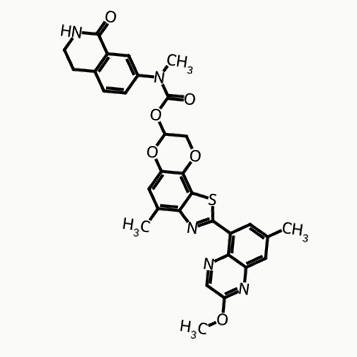 COc1cnc2c(-c3nc4c(C)cc5c(c4s3)OCC(OC(=O)N(C)c3ccc4c(c3)C(=O)NCC4)O5)cc(C)cc2n1